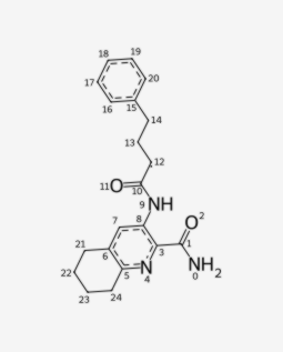 NC(=O)c1nc2c(cc1NC(=O)[CH]CCc1ccccc1)CCCC2